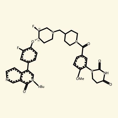 CCCCn1cc(-c2ccc(O[C@H]3CCN(CC4CCN(C(=O)c5ccc(OC)c(N6CCC(=O)NC6=O)c5)CC4)C[C@@H]3F)c(F)c2)c2ccncc2c1=O